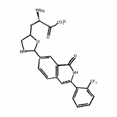 CN[C@H](CC1CNC(c2ccc3cc(-c4ccccc4C(F)(F)F)[nH]c(=O)c3c2)O1)C(=O)C(=O)O